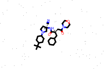 CC(C)(C)C1CCC(N2CC[C@@](C#N)(NC(=O)[C@@H](CC(=O)N3CCOCC3)CC3CCCCC3)C2)CC1